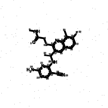 CNC(=O)CSc1nc2c(C)c(F)ccc2cc1[C@H](C)Nc1nc(N)ncc1C#N